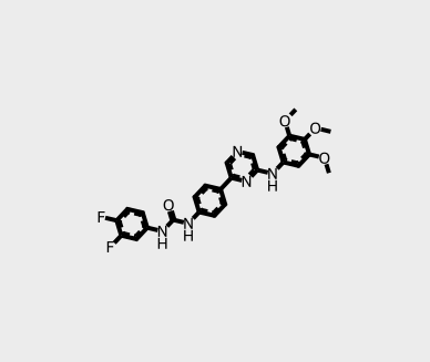 COc1cc(Nc2cncc(-c3ccc(NC(=O)Nc4ccc(F)c(F)c4)cc3)n2)cc(OC)c1OC